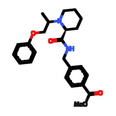 COC(=O)c1ccc(CNC(=O)[C@H]2CCCCN2C(C)COc2ccccc2)cc1